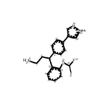 NCCC(c1ccc(-c2cn[nH]c2)cc1)c1ccccc1OC(F)F